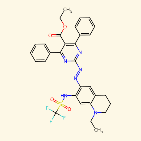 CCOC(=O)c1c(-c2ccccc2)nc(N=Nc2cc3c(cc2NS(=O)(=O)C(F)(F)F)N(CC)CCC3)nc1-c1ccccc1